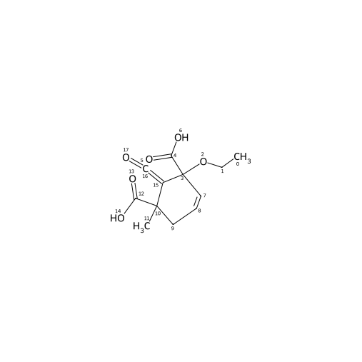 CCOC1(C(=O)O)C=CCC(C)(C(=O)O)C1=C=O